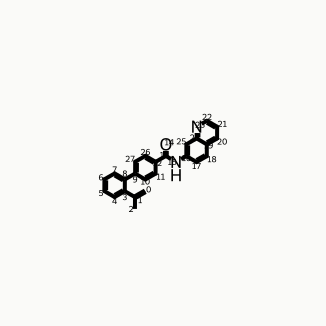 C=C(C)c1ccccc1-c1ccc(C(=O)Nc2ccc3cccnc3c2)cc1